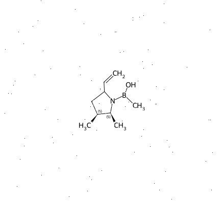 C=CC1C[C@H](C)[C@H](C)N1B(C)O